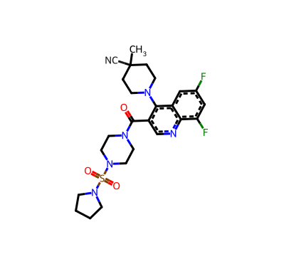 CC1(C#N)CCN(c2c(C(=O)N3CCN(S(=O)(=O)N4CCCC4)CC3)cnc3c(F)cc(F)cc23)CC1